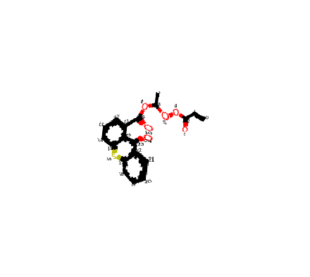 C=CC(=O)OOC(C)OC(=O)c1cccc2sc3ccccc3c(=O)c12